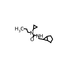 CCCN(C(=O)NCC1C2CCCC21)C1CC1